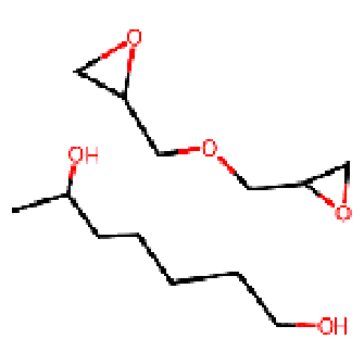 C(OCC1CO1)C1CO1.CC(O)CCCCCO